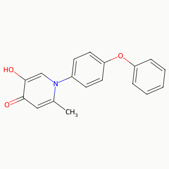 Cc1cc(=O)c(O)cn1-c1ccc(Oc2ccccc2)cc1